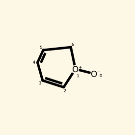 [O-][O+]1C=CC=CC1